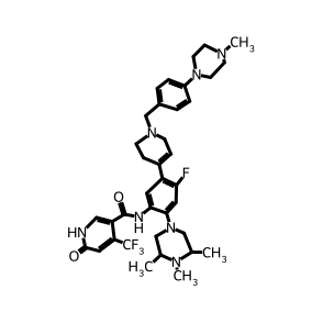 CC1CN(c2cc(F)c(C3=CCN(Cc4ccc(N5CCN(C)CC5)cc4)CC3)cc2NC(=O)c2c[nH]c(=O)cc2C(F)(F)F)CC(C)N1C